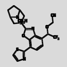 N#CCOC(c1ccc(-c2nccs2)c2oc(N3CC4CCC(C3)N4C(=O)O)nc12)C(F)(F)F